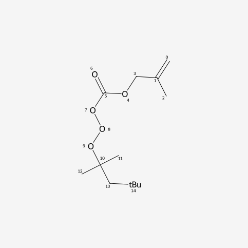 C=C(C)COC(=O)OOOC(C)(C)CC(C)(C)C